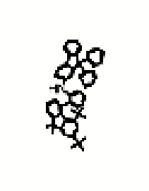 CC(C)(C)c1cc(C(C)(C)C)c2c(c1)C(C)(C)c1cccc(-c3ccccc3Nc3ccc4c(c3)C(c3ccccc3)(c3ccccc3)c3ccccc3-4)c1-2